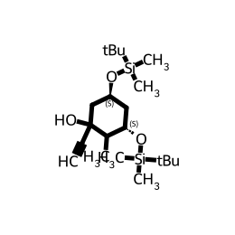 C#CC1(O)C[C@@H](O[Si](C)(C)C(C)(C)C)C[C@H](O[Si](C)(C)C(C)(C)C)C1C